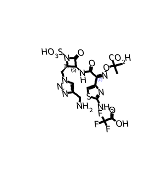 CC(C)(O/N=C(\C(=O)N[C@@H]1C(=O)N(S(=O)(=O)O)[C@@H]1Cn1cc(CN)nn1)c1csc(N)n1)C(=O)O.O=C(O)C(F)(F)F